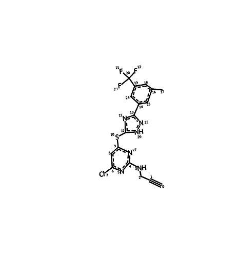 C#CCNc1nc(Cl)cc(Sc2nc(-c3cc(C)cc(C(F)(F)F)c3)n[nH]2)n1